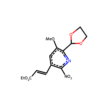 CCOC(=O)C=Cc1cc(OC)c(C2OCCO2)nc1[N+](=O)[O-]